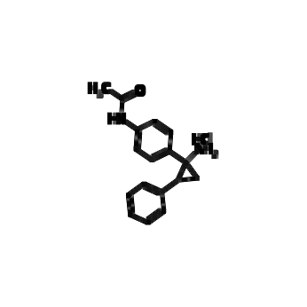 CC(=O)Nc1ccc(C2(N)CC2c2ccccc2)cc1.Cl